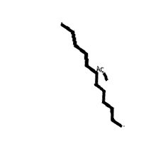 CC(C)=O.[CH2]CCCCCCCCCCC